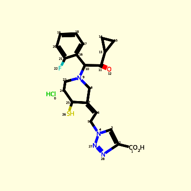 Cl.O=C(O)c1cn(CC=C2CN(C(C(=O)C3CC3)c3ccccc3F)CCC2S)nn1